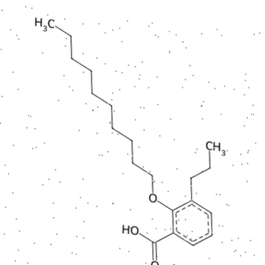 CCCCCCCCCCOc1c(CCC)cccc1C(=O)O